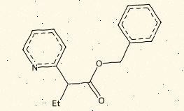 CCC(C(=O)OCc1ccccc1)c1ccccn1